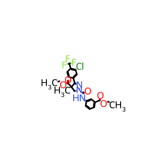 CCOC(=O)c1cccc(NC(=O)N2CC(C)(C(=O)OCC)C(c3ccc(C(F)(F)F)c(Cl)c3)=N2)c1